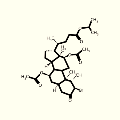 CC(=O)O[C@H]1CC2C([C@H](OC(C)=O)C[C@@H]3CC(=O)[C@H](Br)[C@@H](O)[C@]23C)[C@@H]2CC[C@H]([C@H](C)CCC(=O)OC(C)C)[C@@]12C